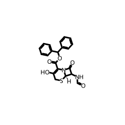 O=CNC1C(=O)N2C(C(=O)OC(c3ccccc3)c3ccccc3)=C(O)CS[C@H]12